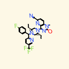 CC[C@H]1CN(C(c2ccc(F)cc2)c2ccc(C(F)(F)F)cn2)[C@@H](CC)CN1c1nc(=O)n(C)c2ccc(C#N)nc12